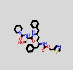 O=C(N[C@H](CC[C@H](Cc1ccccc1)NC(=O)[C@H](CO)NC(=O)N1CCCCC1)Cc1ccccc1)OCc1cncs1